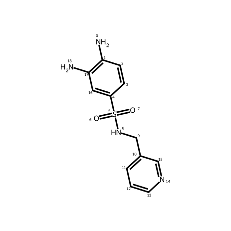 Nc1ccc(S(=O)(=O)NCc2cccnc2)cc1N